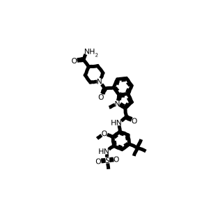 COc1c(NC(=O)c2cc3cccc(C(=O)N4CCC(C(N)=O)CC4)c3n2C)cc(C(C)(C)C)cc1NS(C)(=O)=O